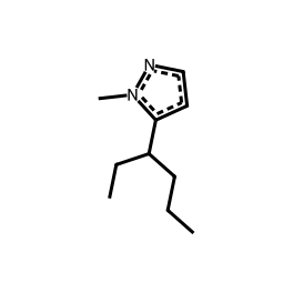 CCCC(CC)c1ccnn1C